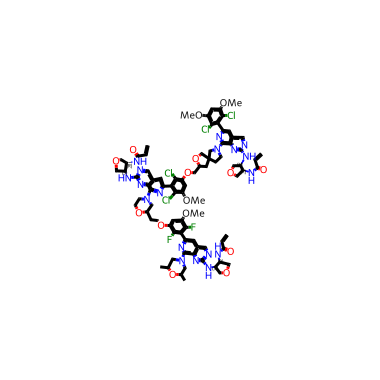 C=CC(=O)N[C@H]1COC[C@H]1Nc1ncc2cc(-c3c(F)c(OC)cc(OCCC4CN(c5nc(-c6c(Cl)c(OC)cc(OCC7CC8(CCN(c9nc(-c%10c(Cl)c(OC)cc(OC)c%10Cl)cc%10cnc(N[C@@H]%11COC[C@@H]%11NC(=O)C=C)nc9%10)C8)CO7)c6Cl)cc6cnc(N[C@@H]7COC[C@@H]7NC(=O)C=C)nc56)CCO4)c3F)nc(N3CC(C)OC(C)C3)c2n1